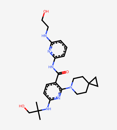 CC(C)(CO)Nc1ccc(C(=O)Nc2cccc(NCCO)n2)c(N2CCC3(CC2)CC3)n1